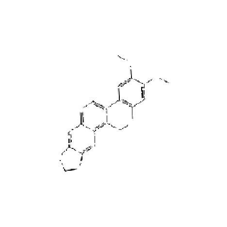 COc1cc2c(cc1OC)-c1cnc3cc4c(cc3c1CO2)OCO4